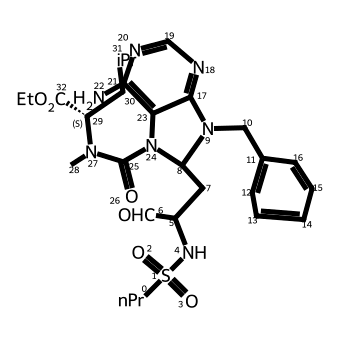 CCCS(=O)(=O)NC(C=O)CC1N(Cc2ccccc2)c2ncnc(N)c2N1C(=O)N(C)[C@@H](CC(C)C)C(=O)OCC